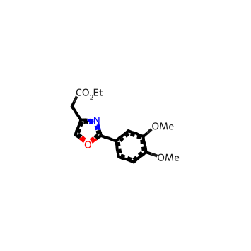 CCOC(=O)Cc1coc(-c2ccc(OC)c(OC)c2)n1